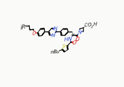 CCCCc1ccc(C(=O)N[C@H](Cc2ccc(-c3ncc(-c4ccc(OCCCC(C)C)cc4)cn3)cc2)C(=O)N2CC(C(=O)O)C2)s1